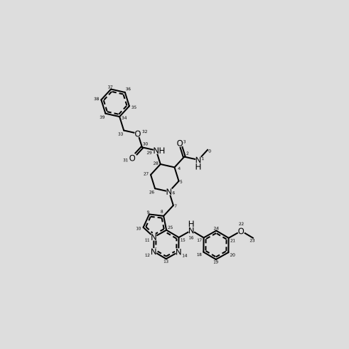 CNC(=O)C1CN(Cc2ccn3ncnc(Nc4cccc(OC)c4)c23)CCC1NC(=O)OCc1ccccc1